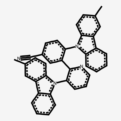 Cc1ccc2c(c1)c1ccccc1n2-c1ccc(C#N)cc1-c1ncccc1-n1c2ccccc2c2cc(C)ccc21